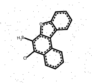 Bc1c(Cl)c2ccccc2c2c1oc1ccccc12